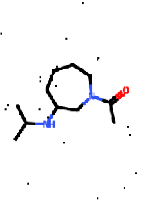 CC(=O)N1CCCCC(NC(C)C)C1